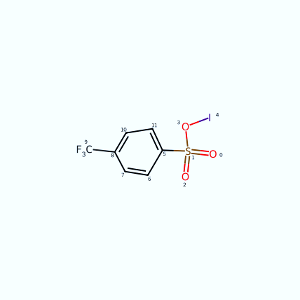 O=S(=O)(OI)c1ccc(C(F)(F)F)cc1